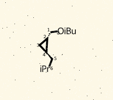 CC(C)COC[C@H]1C[C@@H]1CC(C)C